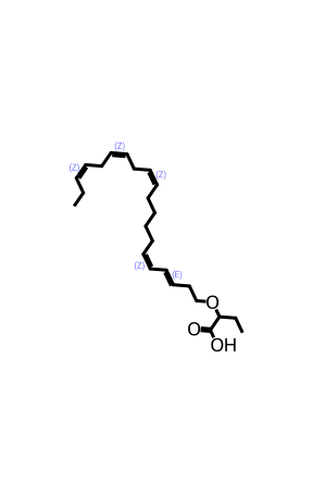 CC/C=C\C/C=C\C/C=C\CCCC/C=C\C=C\CCOC(CC)C(=O)O